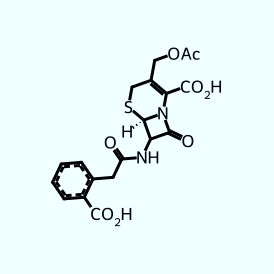 CC(=O)OCC1=C(C(=O)O)N2C(=O)C(NC(=O)Cc3ccccc3C(=O)O)[C@H]2SC1